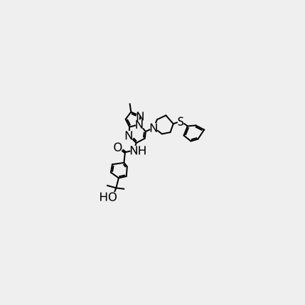 Cc1cc2nc(NC(=O)c3ccc(C(C)(C)O)cc3)cc(N3CCC(Sc4ccccc4)CC3)n2n1